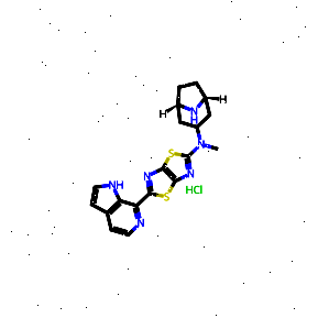 CN(c1nc2sc(-c3nccc4cc[nH]c34)nc2s1)C1C[C@H]2CC[C@@H](C1)N2.Cl